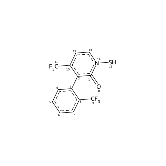 O=c1c(-c2ccccc2C(F)(F)F)c(C(F)(F)F)ccn1S